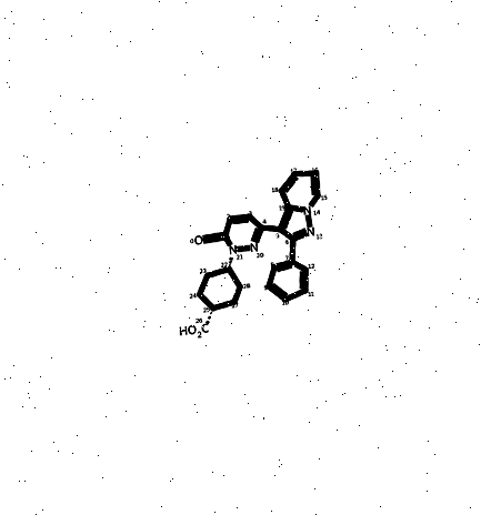 O=c1ccc(-c2c(-c3ccccc3)nn3ccccc23)nn1[C@H]1CC[C@@H](C(=O)O)CC1